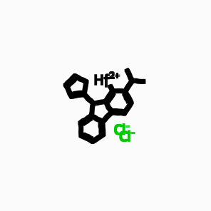 CC(C)c1ccc2c([c]1[Hf+2])C(C1=CC=CC1)c1ccccc1-2.[Cl-].[Cl-]